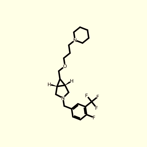 Fc1ccc(CN2C[C@@H]3C(COCCCN4CCCCC4)[C@@H]3C2)cc1C(F)(F)F